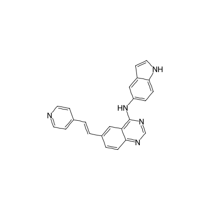 C(=Cc1ccc2ncnc(Nc3ccc4[nH]ccc4c3)c2c1)c1ccncc1